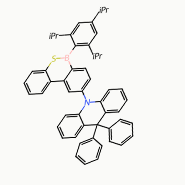 CC(C)c1cc(C(C)C)c(B2Sc3ccccc3-c3cc(N4c5ccccc5C(c5ccccc5)(c5ccccc5)c5ccccc54)ccc32)c(C(C)C)c1